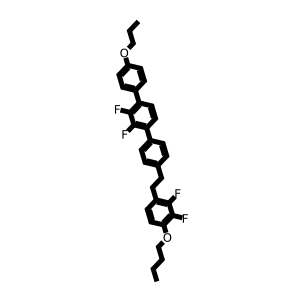 CCCCOc1ccc(CCc2ccc(-c3ccc(-c4ccc(OCCC)cc4)c(F)c3F)cc2)c(F)c1F